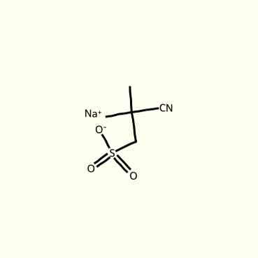 CC(C)(C#N)CS(=O)(=O)[O-].[Na+]